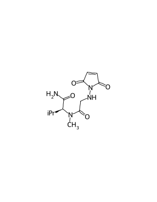 CC(C)[C@@H](C(N)=O)N(C)C(=O)CNN1C(=O)C=CC1=O